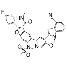 CNC(=O)c1c(-c2ccc(F)cc2)oc2cc(N(C)S(C)(=O)=O)c(-c3cc4c(cn3)OCn3c-4cc4c(C#N)cccc43)cc12